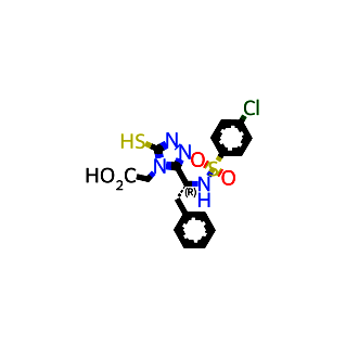 O=C(O)Cn1c(S)nnc1[C@@H](Cc1ccccc1)NS(=O)(=O)c1ccc(Cl)cc1